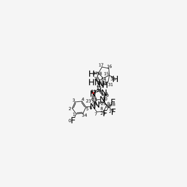 Fc1cccc(N2CCCn3nc(N[C@@H]4[C@@H]5CC[C@H]4CN(c4ccnc(C(F)(F)F)c4)C5)nc32)c1